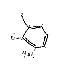 Cc1ccccc1Br.[MgH2]